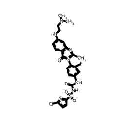 Cc1nc2cc(NCCN(C)C)ccc2c(=O)n1-c1ccc(NC(=O)NS(=O)(=O)c2ccc(Cl)s2)cc1F